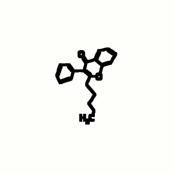 CCCCCc1oc2ccccc2c(=O)c1-c1ccccc1